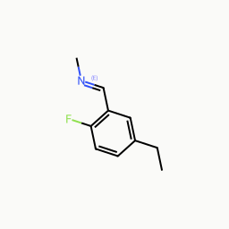 CCc1ccc(F)c(/C=N/C)c1